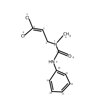 CN(CC=C(Cl)Cl)C(=O)Nc1ccccc1